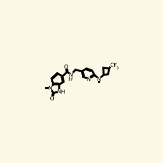 CN(c1ccc(CNC(=O)c2ccc3c(c2)[nH]c(=O)n3C)cn1)C1CC(C(F)(F)F)C1